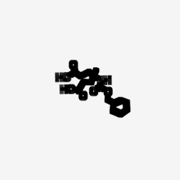 CC(CCC(=O)O)(CCC(=O)O)NC(=O)OCc1ccccc1